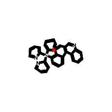 c1ccc([Si](c2ccccn2)(c2ccccn2)c2cccc3c2ccc2cnc4ccccc4c23)nc1